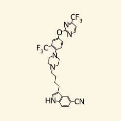 N#Cc1ccc2[nH]cc(CCCCN3CCN(c4ccc(Oc5nccc(C(F)(F)F)n5)cc4C(F)(F)F)CC3)c2c1